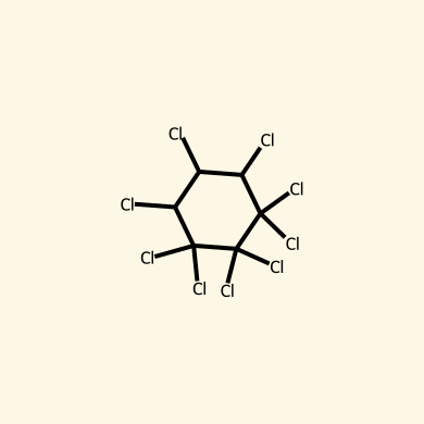 ClC1C(Cl)C(Cl)(Cl)C(Cl)(Cl)C(Cl)(Cl)C1Cl